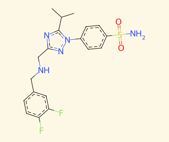 CC(C)c1nc(CNCc2ccc(F)c(F)c2)nn1-c1ccc(S(N)(=O)=O)cc1